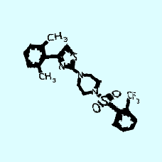 Cc1cccc(C)c1-c1csc(N2CCN(S(=O)(=O)c3ccccc3C(F)(F)F)CC2)n1